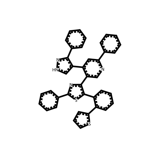 [c]1c(-c2ccccc2)ncc(-c2nc(-c3ccccc3)sc2-c2ccccc2-c2cccs2)c1-c1c[nH]nc1-c1ccccc1